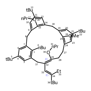 CCCCc1c2cc(C(C)(C)C)cc1Cc1cc(C(C)(C)C)cc(c1OCCC)Cc1cc(C(C)(C)C)cc(c1OC)CC/C(OCCC)=C(\C=C(/CC)C(C)(C)C)C2